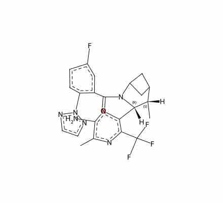 Cc1nc(C(F)(F)F)c([C@H]2[C@@H](C)C3CC(C3)N2C(=O)c2cc(F)ccc2-n2nccn2)nc1N